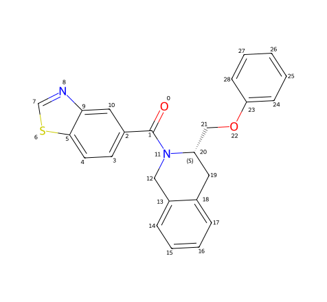 O=C(c1ccc2scnc2c1)N1Cc2ccccc2C[C@H]1COc1ccccc1